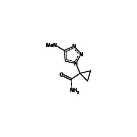 CNc1cn(C2(C(N)=O)CC2)nn1